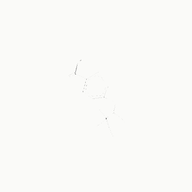 CC(Oc1ccc(C(=O)O)cc1)C(C)(C)C